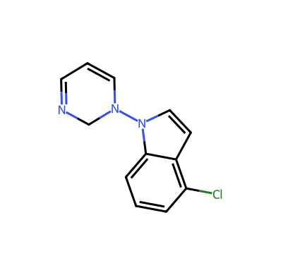 Clc1cccc2c1ccn2N1C=CC=NC1